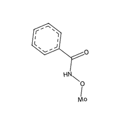 O=C(N[O][Mo])c1ccccc1